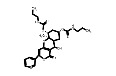 CCCNC(=O)O[C@@H]1CC2C(O)c3c(cc(-c4cccnc4)oc3=O)O[C@@]2(C)[C@H](OC(=O)NCCC)C1